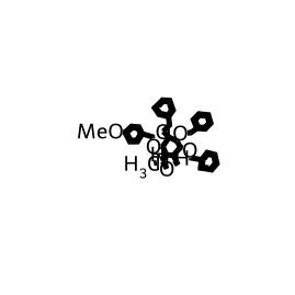 COc1ccc(COC2C(OCc3ccccc3)C(OCc3ccccc3)C(OCc3ccccc3)[C@@H]3CON(C)[C@@H]23)cc1